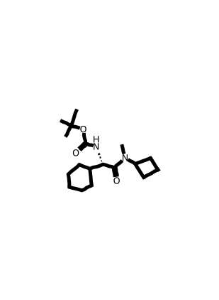 CN(C(=O)[C@@H](NC(=O)OC(C)(C)C)C1CCCCC1)C1CCC1